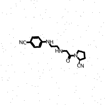 N#Cc1ccc(NCCNCC(=O)N2CCC[C@H]2C#N)cc1